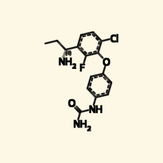 CC[C@@H](N)c1ccc(Cl)c(Oc2ccc(NC(N)=O)cc2)c1F